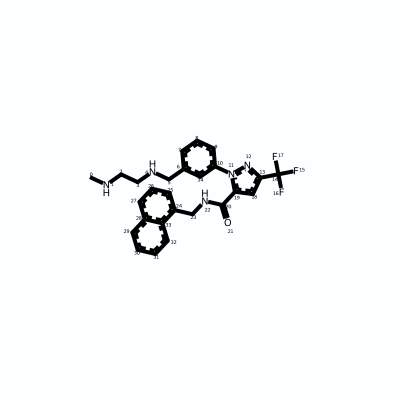 CNCCNCc1cccc(-n2nc(C(F)(F)F)cc2C(=O)NCc2cccc3ccccc23)c1